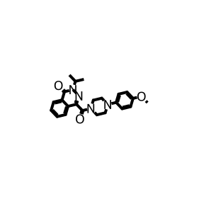 COc1ccc(N2CCN(C(=O)c3nn(C(C)C)c(=O)c4ccccc34)CC2)cc1